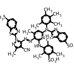 Cc1cc(C)c(N(c2cc(C)c(N=Nc3c(C#N)c(C)nn3-c3nc4ccc(S(=O)(=O)O)cc4s3)c(Nc3c(C)cc(C)c(S(=O)(=O)O)c3C)n2)c2nc3ccc(S(=O)(=O)O)cc3s2)c(C)c1C